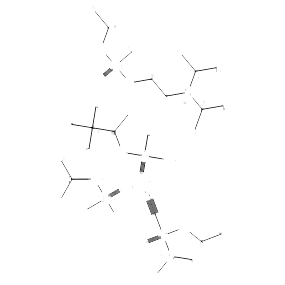 CC(C)OP(C)(=O)F.CC(OP(C)(=O)F)C(C)(C)C.CCOP(=O)(C#N)N(C)C.CCOP(C)(=O)SCCN(C(C)C)C(C)C